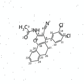 CC(=O)NC1=C(C#N)C(c2ccc(Cl)c(Cl)c2)C2=C(O1)c1ccccc1CC2